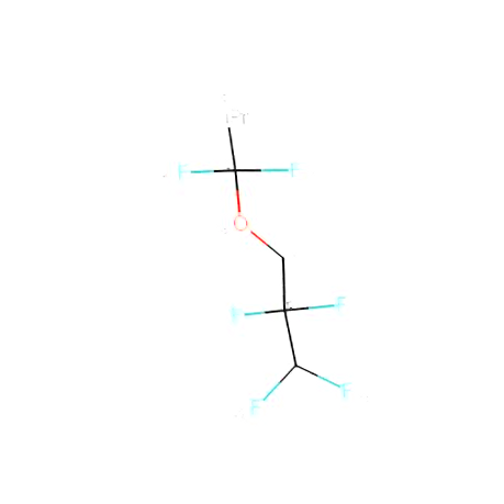 CC(C)C(F)(F)OCC(F)(F)C(F)F